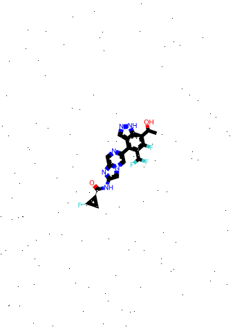 CC(O)c1c(F)c(C(F)F)c(-c2cn3cc(NC(=O)[C@@H]4C[C@@H]4F)nc3cn2)c2cn[nH]c12